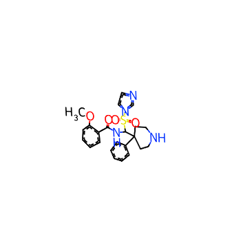 COc1ccccc1C(=O)NC(C1(c2ccccc2)CCNCC1)S(=O)(=O)n1ccnc1